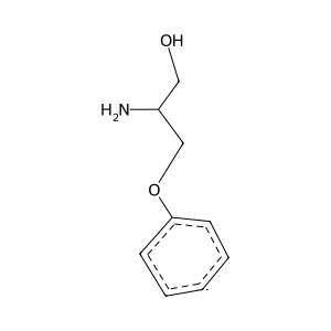 NC(CO)COc1cc[c]cc1